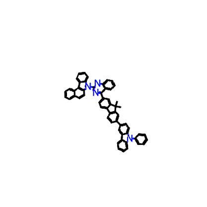 CC1(C)c2cc(-c3ccc4c(c3)c3ccccc3n4-c3ccccc3)ccc2-c2ccc(-c3nc(-n4c5ccccc5c5c6ccccc6ccc54)nc4ccccc34)cc21